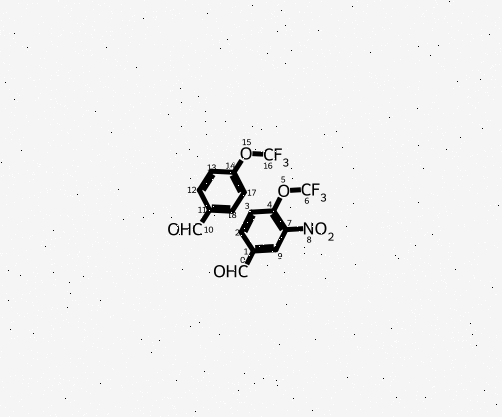 O=Cc1ccc(OC(F)(F)F)c([N+](=O)[O-])c1.O=Cc1ccc(OC(F)(F)F)cc1